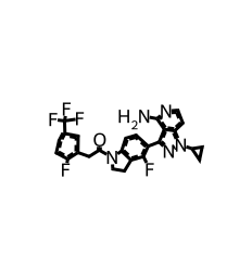 Nc1nccc2c1c(-c1ccc3c(c1F)CCN3C(=O)Cc1cc(C(F)(F)F)ccc1F)nn2C1CC1